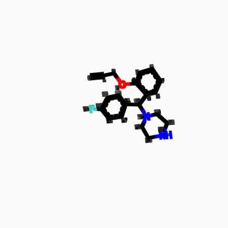 C#CCOc1ccccc1C(c1ccc(F)cc1)N1CCNCC1